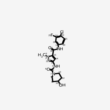 Cn1nc(NC(=O)N2CCC(O)CC2)cc1C(=O)Nc1ccc(Cl)c(F)c1